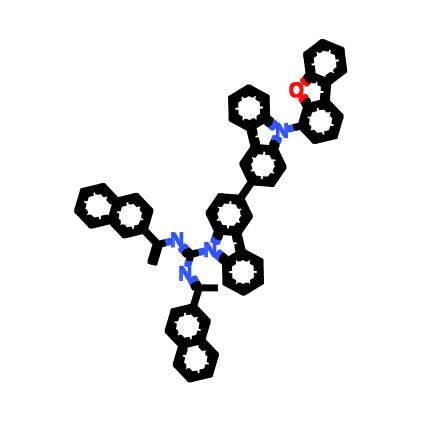 C=C(/N=C(\N=C(/C)c1ccc2ccccc2c1)n1c2ccccc2c2cc(-c3ccc4c(c3)c3ccccc3n4-c3cccc4c3oc3ccccc34)ccc21)c1ccc2ccccc2c1